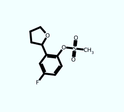 CS(=O)(=O)Oc1ccc(F)cc1C1CCCO1